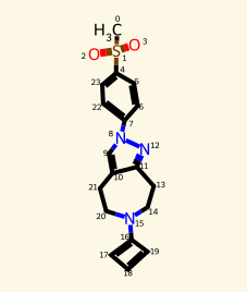 CS(=O)(=O)c1ccc(-n2cc3c(n2)CCN(C2=CC=C2)CC3)cc1